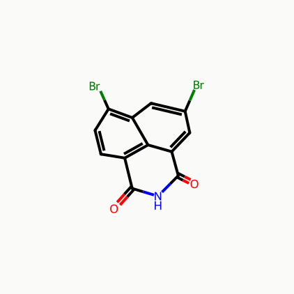 O=C1NC(=O)c2cc(Br)cc3c(Br)ccc1c23